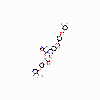 Cc1ncoc1C(=O)N1Cc2cc3c(cc2C[C@H]1C(=O)N[C@@H](Cc1ccc(Oc2ccnc(C)c2C)cc1)C(=O)O)OC[C@H](c1ccc(OCc2ccc(Cl)c(Cl)c2)cc1)O3